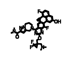 C#Cc1c(F)ccc2cc(O)cc(-c3c(F)cc4c(N5CCCn6nc(C(=O)N(C)C)cc6C5)nc(OCC5(CN(C)C)CC5(F)F)nc4c3F)c12